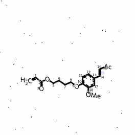 C=CC(=O)OCCCCOc1ccc(/C=C/C(C)=O)cc1OC